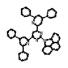 c1ccc(-c2cc(-c3ccccc3)nc(-c3cc(-c4cc(-c5ccccc5)cc(-c5ccccc5)n4)nc(-n4c5cccc6ccc7cccc4c7c65)n3)c2)cc1